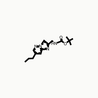 CCCc1cnn2cc(CNC(=O)OC(C)(C)C)nc2c1